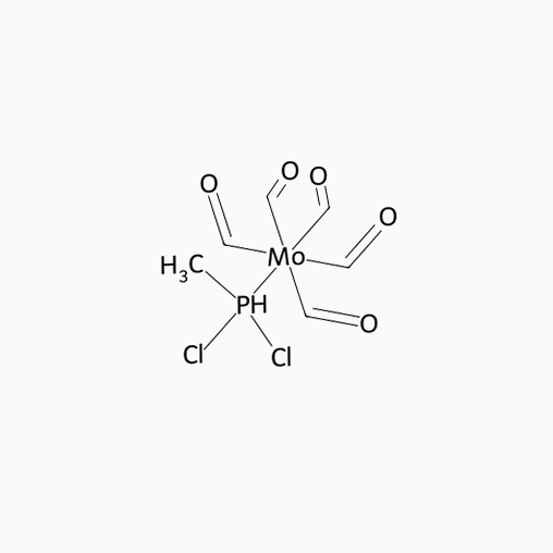 C[PH](Cl)(Cl)[Mo]([CH]=O)([CH]=O)([CH]=O)([CH]=O)[CH]=O